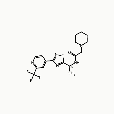 C[C@H](NC(=O)CN1CCCCC1)c1nc(-c2ccnc(C(F)(F)F)c2)no1